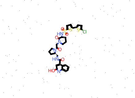 O=C(NC[C@@H]1CCCN1C(=O)CN1CCC[C@H](NS(=O)(=O)c2ccc(-c3ccc(Cl)s3)s2)C1=O)c1cc(O)nc2ccccc12